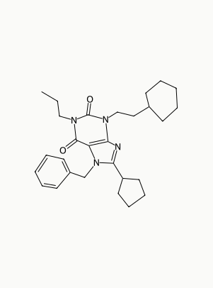 CCCn1c(=O)c2c(nc(C3CCCC3)n2Cc2ccccc2)n(CCC2CCCCC2)c1=O